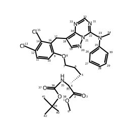 COC(=O)[C@@H](CCCOc1ccc(Cl)c(Cl)c1Cc1cnn2c(N(C)c3ccccc3)ncnc12)NC(=O)OC(C)(C)C